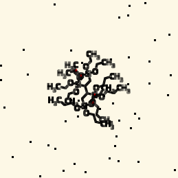 CCCO[Si](CC(C(C[Si](OCC)(OCC)OCC)[Si](OCC)(OCC)OCC)[Si](OCCC)(OCCC)OCCC)(OCCC)OCCC